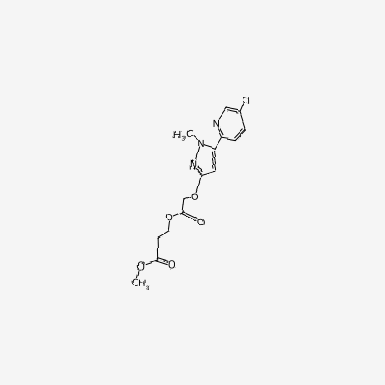 COC(=O)CCOC(=O)COc1cc(-c2ccc(Cl)cn2)n(C)n1